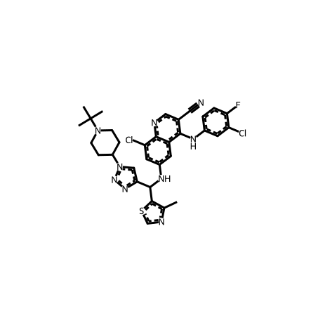 Cc1ncsc1C(Nc1cc(Cl)c2ncc(C#N)c(Nc3ccc(F)c(Cl)c3)c2c1)c1cn(C2CCN(C(C)(C)C)CC2)nn1